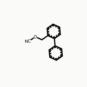 N#COCc1ccccc1-c1ccccc1